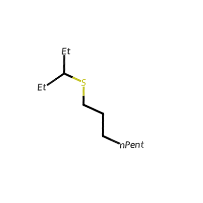 CCCCCCCCSC(CC)CC